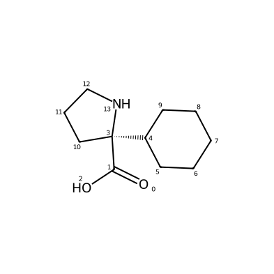 O=C(O)[C@@]1(C2CCCCC2)CCCN1